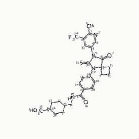 N#Cc1ncc(N2C(=O)C3(CCC3)N(c3ccc(C(=O)NCC4CCN(C(=O)O)CC4)cc3)C2=S)cc1C(F)(F)F